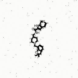 CC1(C)Cc2cccc(CN3CCC(CNC(=O)c4cc5ccncc5[nH]4)CC3)c2O1